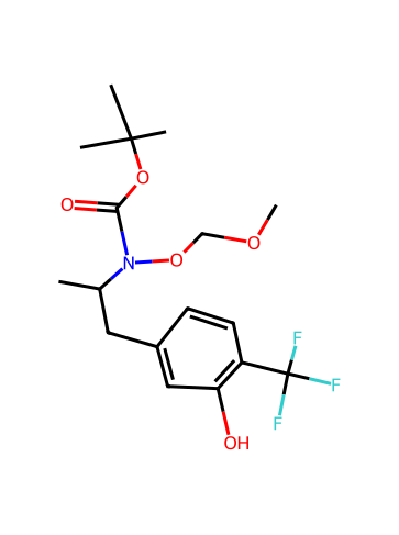 COCON(C(=O)OC(C)(C)C)C(C)Cc1ccc(C(F)(F)F)c(O)c1